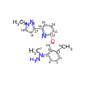 Cc1cccc(N(C)N)c1COc1cccc(-c2ccn(C)n2)n1